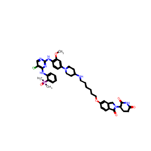 COc1cc(N2CCC(NCCCCCCOc3ccc4c(c3)CN(C3CCC(=O)NC3=O)C4=O)CC2)ccc1Nc1ncc(Cl)c(Nc2ccccc2P(C)(C)=O)n1